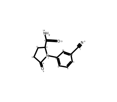 N#Cc1cccc(N2C(=O)CCC2C(N)=O)c1